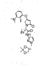 CC(C)C[C@@H](C(=O)Nc1ccn(C[C@@H]2COC(C)(C)O2)n1)N1CC(Oc2cccc(N(C)C)c2F)=CC1=O